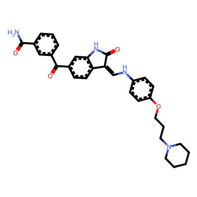 NC(=O)c1cccc(C(=O)c2ccc3c(c2)NC(=O)C3=CNc2ccc(OCCCN3CCCCC3)cc2)c1